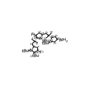 CC(C)(C)[C@@H]1[C@H](F)CC(CC(C)(C)[C@@H]2[C@@H](F)CC(CC(C)(C)[C@@H]3C[C@H](N)CN3C(C)(C)C)N2C(C)(C)C)N1C(C)(C)C